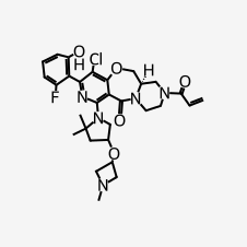 C=CC(=O)N1CCN2C(=O)c3c(N4CC(OC5CN(C)C5)CC4(C)C)nc(-c4c(O)cccc4F)c(Cl)c3OC[C@H]2C1